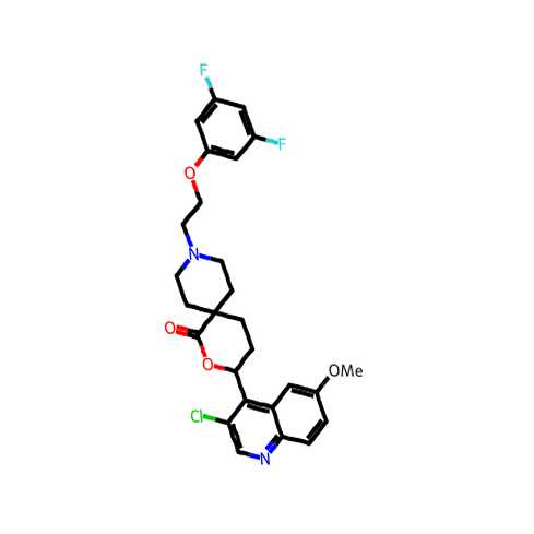 COc1ccc2ncc(Cl)c(C3CCC4(CCN(CCOc5cc(F)cc(F)c5)CC4)C(=O)O3)c2c1